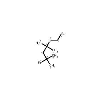 CCC(C)CSC(C)(C)CC(C)(C)CC